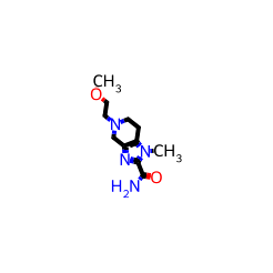 COCCN1CCc2c(nc(C(N)=O)n2C)C1